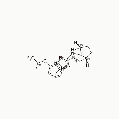 Cc1cc(N2C[C@H]3CC[C@@H](C2)[C@@H]3Nc2nc3c(O[C@@H](C)C(F)(F)F)cccn3n2)on1